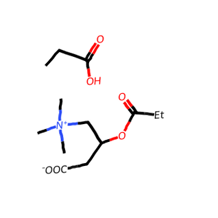 CCC(=O)O.CCC(=O)OC(CC(=O)[O-])C[N+](C)(C)C